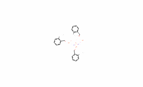 CCOP(N[PH](/N=[PH](/OCC)OCc1ccccc1OC)(OCC)OCc1ccccc1OC)OCc1ccccc1OC